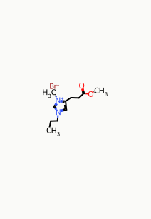 CCCn1cc(CCC(=O)OC)[n+](C)c1.[Br-]